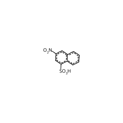 O=[N+]([O-])c1cc(S(=O)(=O)O)c2ccccc2c1